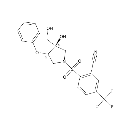 N#Cc1cc(C(F)(F)F)ccc1S(=O)(=O)N1C[C@H](Oc2ccccc2)[C@](O)(CO)C1